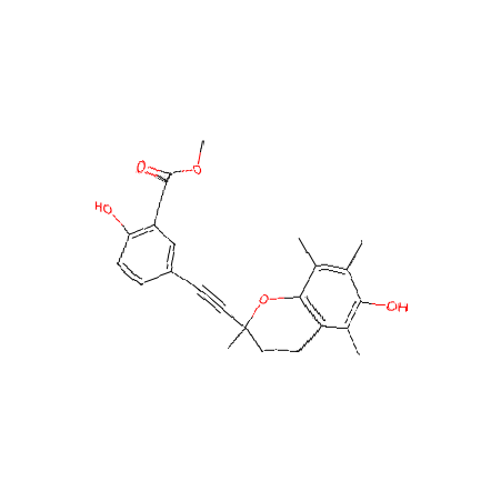 COC(=O)c1cc(C#CC2(C)CCc3c(C)c(O)c(C)c(C)c3O2)ccc1O